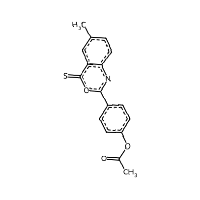 CC(=O)Oc1ccc(-c2nc3ccc(C)cc3c(=S)o2)cc1